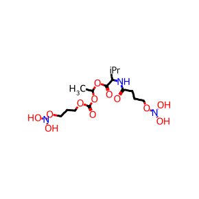 CC(OC(=O)OCCCON(O)O)OC(=O)C(NC(=O)CCCON(O)O)C(C)C